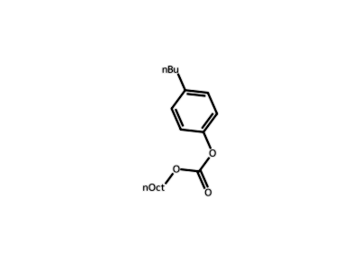 CCCCCCCCOC(=O)Oc1ccc(CCCC)cc1